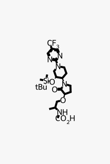 CC(CO[C@@H]1CCN([C@@H]2CCN(c3ncc(C(F)(F)F)cn3)C[C@H]2O[Si](C)(C)C(C)(C)C)C1=O)NC(=O)O